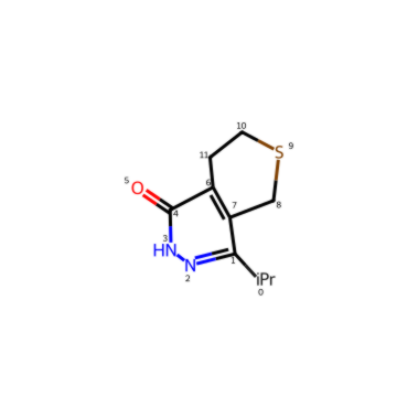 CC(C)c1n[nH]c(=O)c2c1CSCC2